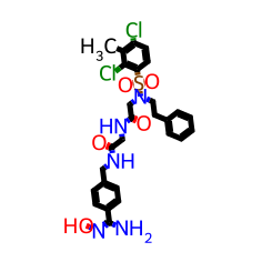 Cc1c(Cl)ccc(S(=O)(=O)N(CCc2ccccc2)CC(=O)NCC(=O)NCc2ccc(/C(N)=N\O)cc2)c1Cl